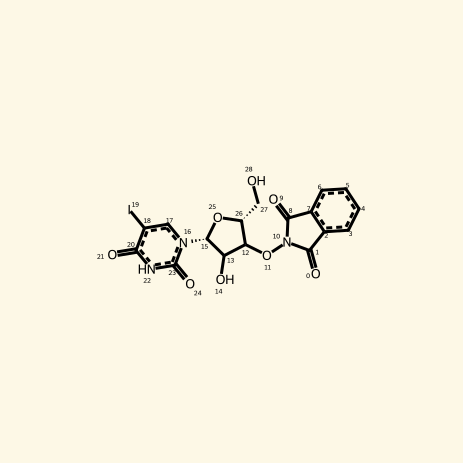 O=C1c2ccccc2C(=O)N1OC1C(O)[C@H](n2cc(I)c(=O)[nH]c2=O)O[C@@H]1CO